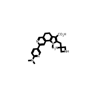 CN(C)c1ccc(-c2cc3c(cn2)CCc2c(C(=O)O)c(CC4(N)CNC4)n(C)c2-3)cn1